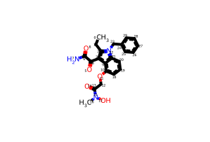 CCc1c(C(=O)C(N)=O)c2c(OCC(=O)N(C)O)cccc2n1Cc1ccccc1